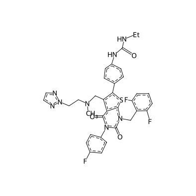 CCNC(=O)Nc1ccc(-c2sc3c(c2CN(C)CCn2nccn2)c(=O)n(-c2ccc(F)cc2)c(=O)n3Cc2c(F)cccc2F)cc1